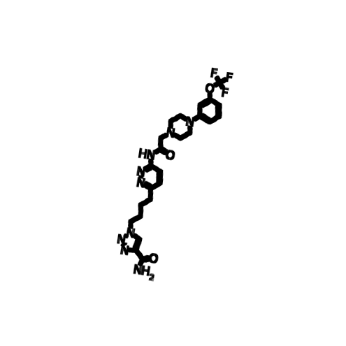 NC(=O)c1cn(CCCCc2ccc(NC(=O)CN3CCN(c4cccc(OC(F)(F)F)c4)CC3)nn2)nn1